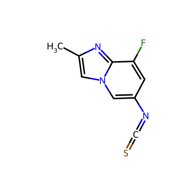 Cc1cn2cc(N=C=S)cc(F)c2n1